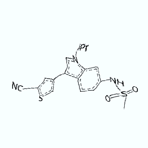 CC(C)n1cc(-c2csc(C#N)c2)c2ccc(NS(C)(=O)=O)cc21